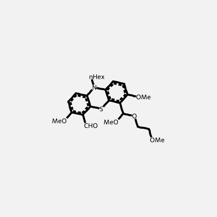 CCCCCCN1c2ccc(OC)c(C=O)c2Sc2c1ccc(OC)c2C(OC)OCCOC